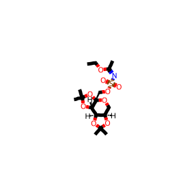 CCOC(C)=NS(=O)(=O)OC[C@@]12OC[C@H]3OC(C)(C)O[C@H]3[C@@H]1OC(C)(C)O2